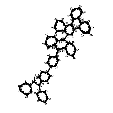 c1ccc(-c2oc3cc(-c4ccc(-c5c6ccccc6c(-c6cc7c8ccccc8c8ccccc8c7c7ccccc67)c6ccccc56)cc4)ccc3c2-c2ccccc2)cc1